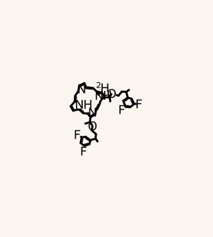 [2H]c1c(C(C)OCCC(C)c2cc(F)cc(F)c2)c2cc3nc(cc4ccc(cc5nc(cc1[nH]2)C=C5)[nH]4)C(C(C)OCCC(C)c1cc(F)cc(F)c1)=C3